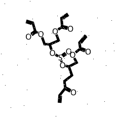 C=CC(=O)CCC(COC(=O)C=C)OS(=O)OC(COC(=O)C=C)COC(=O)C=C